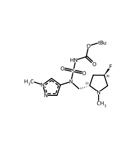 CN1C[C@H](F)C[C@H]1CN(c1cnn(C)c1)S(=O)(=O)NC(=O)OC(C)(C)C